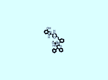 COC(=O)NC(C(=O)Nc1ccccc1CC[C@@H]1CN[C@H](c2nc3c(O)cccc3[nH]2)CO1)C(c1ccccc1)c1ccccc1